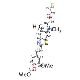 COCOc1ccc(/C=C/c2nc3cc(C)c(N(C)CCOCCF)cc3s2)cc1OC